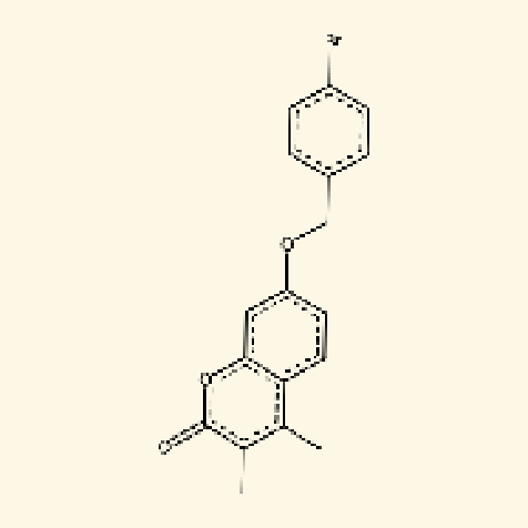 Cc1c(C)c2ccc(OCc3ccc(Br)cc3)cc2oc1=O